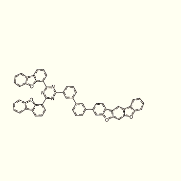 c1cc(-c2cccc(-c3nc(-c4cccc5c4oc4ccccc45)nc(-c4cccc5c4oc4ccccc45)n3)c2)cc(-c2ccc3c(c2)oc2cc4oc5ccccc5c4cc23)c1